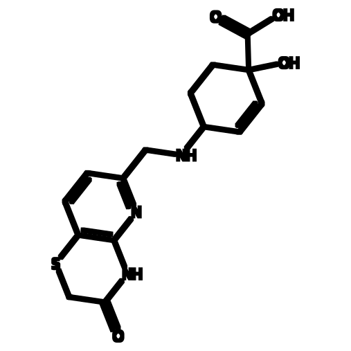 O=C1CSc2ccc(CNC3C=CC(O)(C(=O)O)CC3)nc2N1